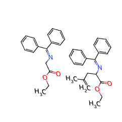 C=C(C)CC(N=C(c1ccccc1)c1ccccc1)C(=O)OCC.CCOC(=O)CN=C(c1ccccc1)c1ccccc1